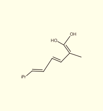 CC(C=CC=CC(C)C)=C(O)O